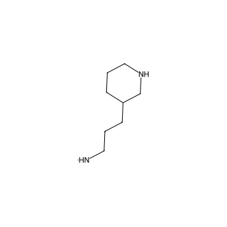 [NH]CCCC1CCCNC1